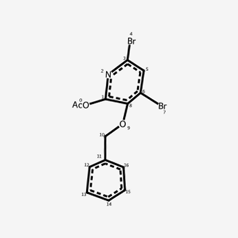 CC(=O)Oc1nc(Br)cc(Br)c1OCc1ccccc1